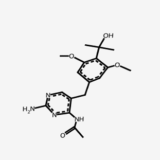 COc1cc(Cc2cnc(N)nc2NC(C)=O)cc(OC)c1C(C)(C)O